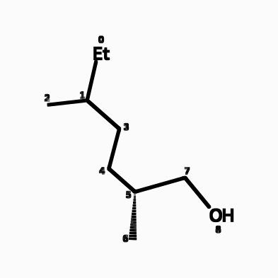 CCC(C)CC[C@@H](C)CO